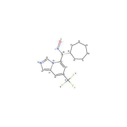 O=N[C@@H](c1cc(C(F)(F)F)cc2cncn12)C1CCCCCC1